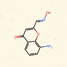 Nc1cccc2c(=O)cc(C=NO)oc12